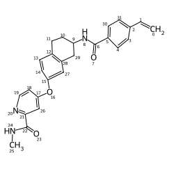 C=Cc1ccc(C(=O)NC2CCc3ccc(Oc4ccnc(C(=O)NC)c4)cc3C2)cc1